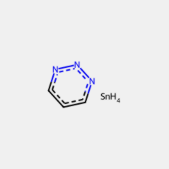 [SnH4].c1cnnnc1